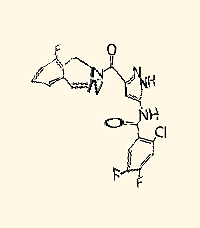 O=C(Nc1cc(C(=O)N2Cc3c(F)cccc3C=N2)n[nH]1)c1cc(F)c(F)cc1Cl